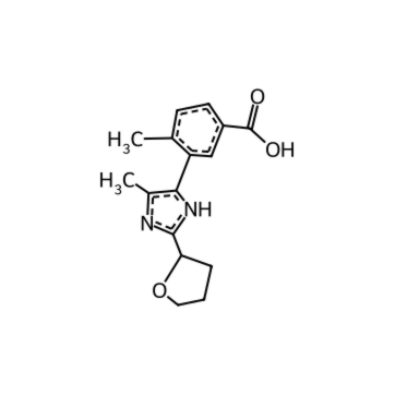 Cc1ccc(C(=O)O)cc1-c1[nH]c(C2CCCO2)nc1C